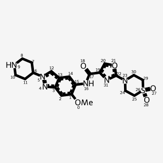 COc1cc2nn(C3CCNCC3)cc2cc1NC(=O)c1coc(N2CCS(=O)(=O)CC2)n1